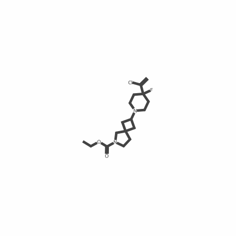 C=C(Cl)C1(F)CCN(C2CC3(CCN(C(=O)OCC)C3)C2)CC1